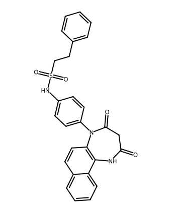 O=C1CC(=O)N(c2ccc(NS(=O)(=O)CCc3ccccc3)cc2)c2ccc3ccccc3c2N1